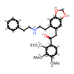 CCOC(=O)c1c(C(=O)Cc2cc3c(cc2CCNCCc2ccccc2)OCO3)ccc(OC)c1OC